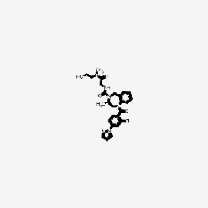 C[C@@H]1CN(C(=O)c2ccc(-n3cccn3)cc2Cl)c2ccccc2CN1C(=O)NCC(=O)N(C)CCO